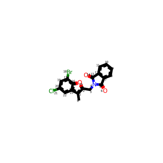 Cc1c(CN2C(=O)c3ccccc3C2=O)oc2c(Br)cc(Cl)cc12